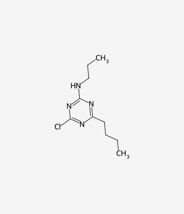 CCCCc1nc(Cl)nc(NCCC)n1